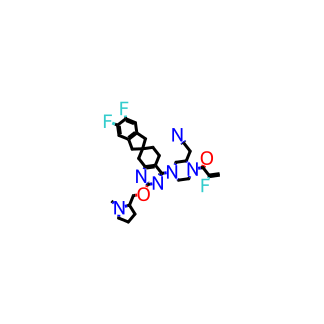 C=C(F)C(=O)N1CCN(c2nc(OCC3CCCN3C)nc3c2CCC2(Cc4cc(F)c(F)cc4C2)C3)CC1CC#N